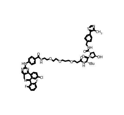 Cc1ncsc1-c1ccc(CNC(=O)[C@@H]2C[C@@H](O)CN2C(=O)[C@@H](NC(=O)CCOCCCOCCOCCNC(=O)c2ccc(Nc3ncc4c(n3)-c3ccc(Cl)cc3C(c3c(F)cccc3F)=NC4)cc2)C(C)(C)C)cc1